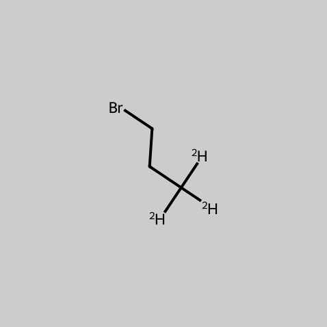 [2H]C([2H])([2H])CCBr